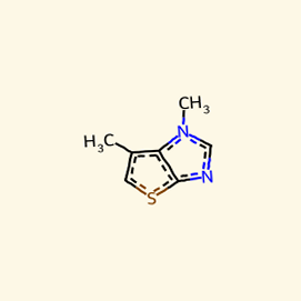 Cc1csc2ncn(C)c12